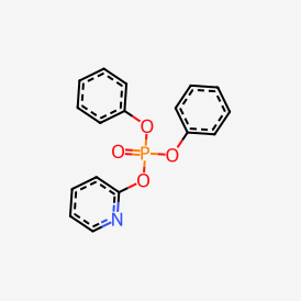 O=P(Oc1ccccc1)(Oc1ccccc1)Oc1ccccn1